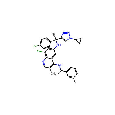 [2H]C(Nc1cc(Cl)c2ncc(C#N)c(NC(CC)c3cccc(C)c3)c2c1)(c1ccc(F)cc1)c1cn(C2CC2)nn1